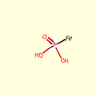 O=[P](O)(O)[Fe]